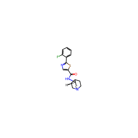 O=C(N[C@H]1CN2CCC1CC2)c1cnc(-c2ccccc2F)s1